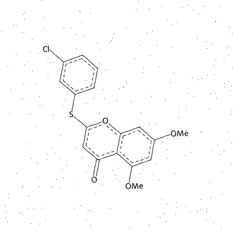 COc1cc(OC)c2c(=O)cc(Sc3cccc(Cl)c3)oc2c1